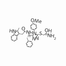 COc1ccc(-n2c(SC[C@@H](N)O)nnc2[C@H](Cc2ccccc2)NC(=O)Cc2c(C)[nH]c3ccccc23)cc1